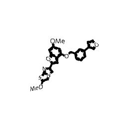 COc1cc(OCc2cccc(-c3ccoc3)c2)c2cc(-c3cn4cc(OC)sc4n3)oc2c1